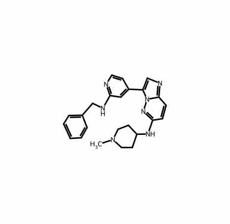 CN1CCC(Nc2ccc3ncc(-c4ccnc(NCc5ccccc5)c4)n3n2)CC1